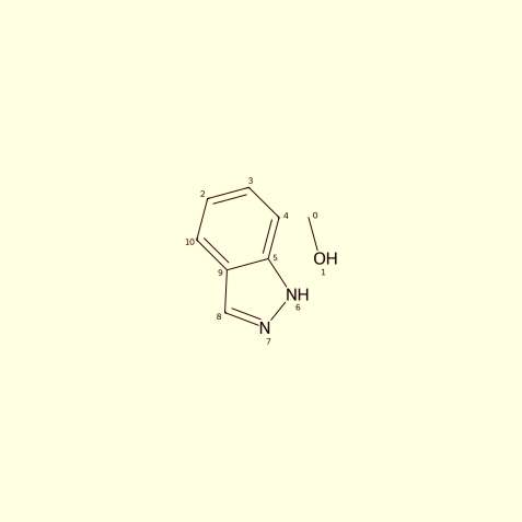 CO.c1ccc2[nH]ncc2c1